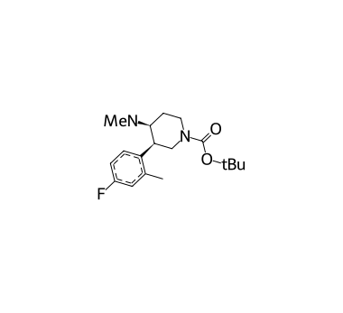 CN[C@H]1CCN(C(=O)OC(C)(C)C)C[C@H]1c1ccc(F)cc1C